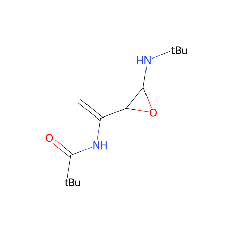 C=C(NC(=O)C(C)(C)C)C1OC1NC(C)(C)C